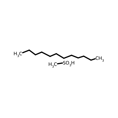 CCCCCCCCCCCC.CS(=O)(=O)O